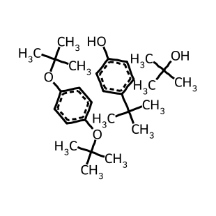 CC(C)(C)O.CC(C)(C)Oc1ccc(OC(C)(C)C)cc1.CC(C)(C)c1ccc(O)cc1